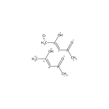 CC(=O)/C=C(/C)O.CC(=O)/C=C(/C)O.[Cr]